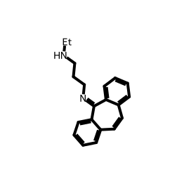 CCNCCCN=c1c2ccccc2ccc2ccccc12